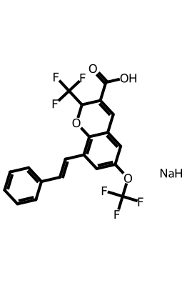 O=C(O)C1=Cc2cc(OC(F)(F)F)cc(C=Cc3ccccc3)c2OC1C(F)(F)F.[NaH]